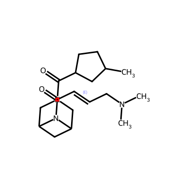 CC1CCC(C(=O)N2CC3CC(C2)N3C(=O)/C=C/CN(C)C)C1